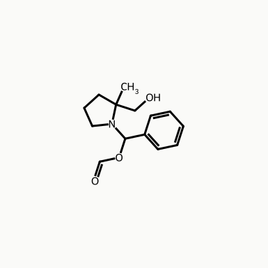 CC1(CO)CCCN1C(OC=O)c1ccccc1